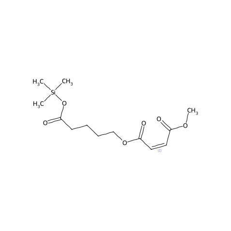 COC(=O)/C=C\C(=O)OCCCCC(=O)O[Si](C)(C)C